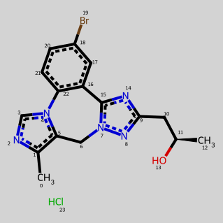 Cc1ncn2c1Cn1nc(C[C@@H](C)O)nc1-c1cc(Br)ccc1-2.Cl